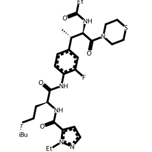 CCC(=O)N[C@@H](C(=O)N1CCSCC1)[C@@H](C)c1ccc(NC(=O)[C@H](CCC[C@@H](C)CC)NC(=O)c2ccnn2CC)c(F)c1